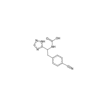 N#Cc1ccc(CC(NC(=O)O)c2ncn[nH]2)cc1